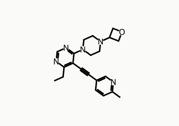 CCc1ncnc(N2CCN(C3COC3)CC2)c1C#Cc1ccc(C)nc1